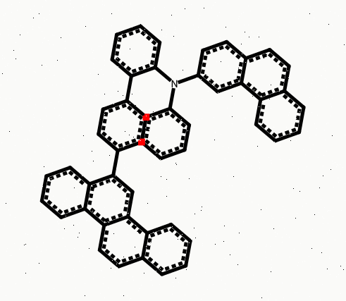 c1ccc(N(c2ccc3ccc4ccccc4c3c2)c2ccccc2-c2ccc(-c3cc4c5ccccc5ccc4c4ccccc34)cc2)cc1